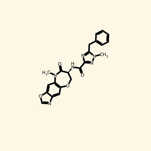 CN1C(=O)[C@@H](NC(=O)c2nc(Cc3ccccc3)n(C)n2)COc2cc3ncoc3cc21